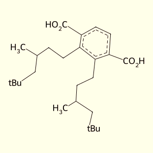 CC(CCc1c(C(=O)O)ccc(C(=O)O)c1CCC(C)CC(C)(C)C)CC(C)(C)C